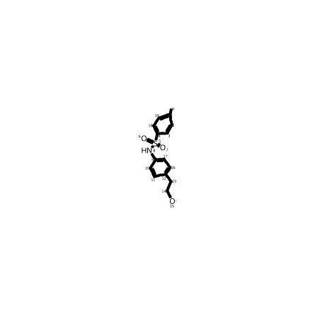 Cc1ccc(S(=O)(=O)Nc2ccc(CC[O])cc2)cc1